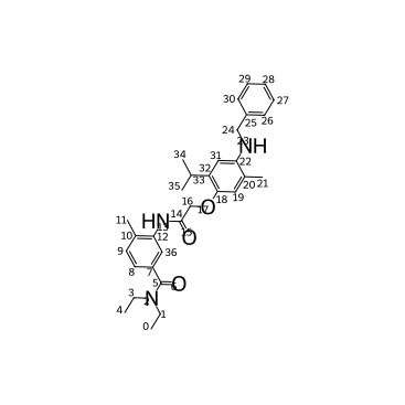 CCN(CC)C(=O)c1ccc(C)c(NC(=O)COc2cc(C)c(NCc3ccccc3)cc2C(C)C)c1